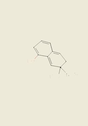 CC(=O)NC1(S(=O)(=O)O)C=c2c(O)cccc2=CC1